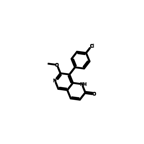 COc1ncc2ccc(=O)[nH]c2c1-c1ccc(Cl)cc1